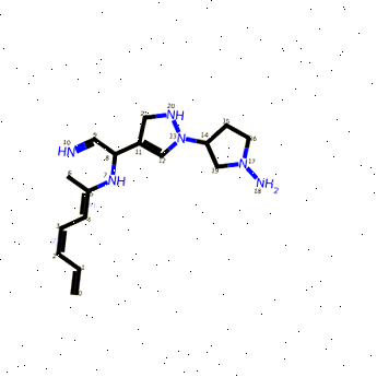 C=C/C=C\C=C(/C)NC(C=N)C1=CN(C2CCN(N)C2)NC1